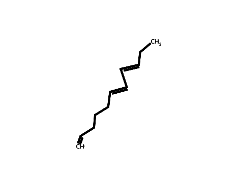 [CH]=CCCCC=CC=CCC